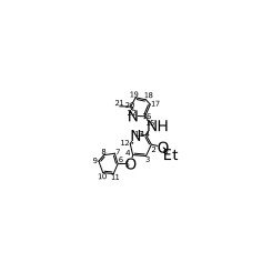 CCOc1cc(Oc2ccccc2)cnc1Nc1cccc(C)n1